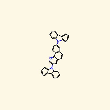 c1ccc2c(c1)c1ccccc1n2-c1ccc2c(ccc3cc(-n4c5ccccc5c5ccccc54)cnc32)c1